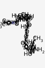 CCCCOc1nc(N)c2nc(O)n(Cc3ccc(C(=O)NCCOCCOCCNC(=O)CC[C@@H](NC(=O)[C@@H](NC(=O)CNC(=O)/C=C/c4ccc(C(C)C)cc4)C(C)C)C(=O)O)cc3)c2n1